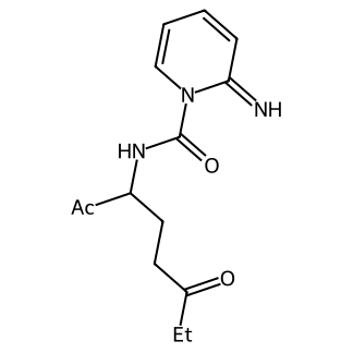 CCC(=O)CCC(NC(=O)n1ccccc1=N)C(C)=O